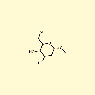 CO[C@@H]1CC(O)[C@@H](O)C(CS)O1